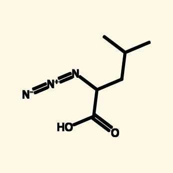 CC(C)CC(N=[N+]=[N-])C(=O)O